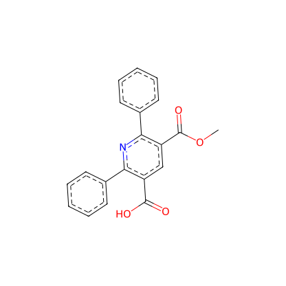 COC(=O)c1cc(C(=O)O)c(-c2ccccc2)nc1-c1ccccc1